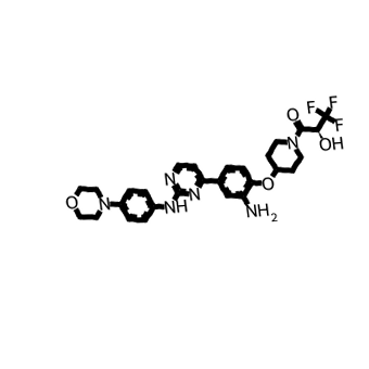 Nc1cc(-c2ccnc(Nc3ccc(N4CCOCC4)cc3)n2)ccc1OC1CCN(C(=O)[C@@H](O)C(F)(F)F)CC1